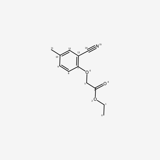 CCOC(=O)COc1ccc(C)cc1C#N